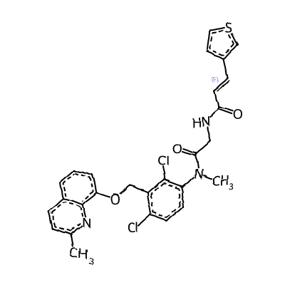 Cc1ccc2cccc(OCc3c(Cl)ccc(N(C)C(=O)CNC(=O)/C=C/c4ccsc4)c3Cl)c2n1